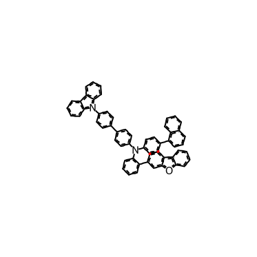 c1ccc(N(c2ccc(-c3ccc(-n4c5ccccc5c5ccccc54)cc3)cc2)c2ccc(-c3cccc4ccccc34)cc2)c(-c2ccc3c(c2)oc2ccccc23)c1